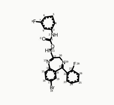 O=C(Nc1cccc(F)c1)ONC1=Nc2ccc(Br)cc2C(c2ccccc2F)=NC1